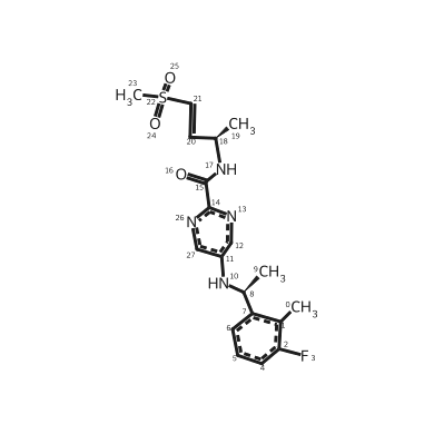 Cc1c(F)cccc1[C@H](C)Nc1cnc(C(=O)N[C@H](C)/C=C/S(C)(=O)=O)nc1